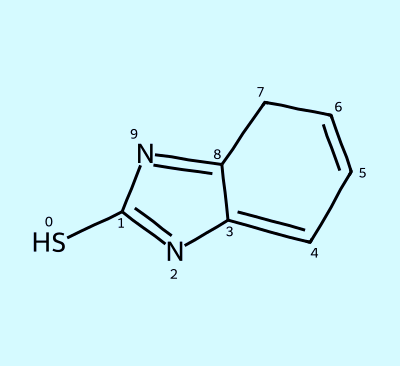 SC1=NC2=CC=CCC2=N1